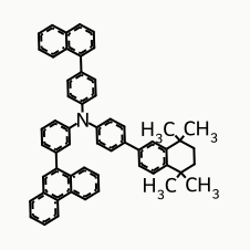 CC1(C)CCC(C)(C)c2cc(-c3ccc(N(c4ccc(-c5cccc6ccccc56)cc4)c4cccc(-c5cc6ccccc6c6ccccc56)c4)cc3)ccc21